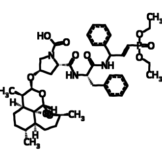 CCOP(=O)(/C=C/C(NC(=O)[C@H](Cc1ccccc1)NC(=O)[C@@H]1C[C@@H](O[C@H]2O[C@@H]3O[C@@]4(C)CC[C@H]5[C@H](C)CC[C@@H]([C@H]2C)[C@@]35OO4)CN1C(=O)O)c1ccccc1)OCC